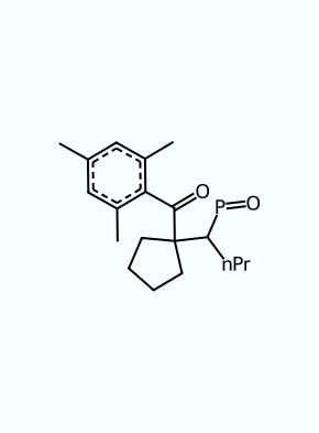 CCCC(P=O)C1(C(=O)c2c(C)cc(C)cc2C)CCCC1